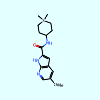 COc1cnc2[nH]c(C(=O)NC3CC[Si](C)(C)CC3)cc2c1